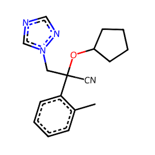 Cc1ccccc1C(C#N)(Cn1cncn1)OC1CCCC1